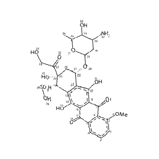 COc1cccc2c1C(=O)c1c(O)c3c(c(O)c1C2=O)C[C@@](O)(C(=O)CO)C[C@@H]3OC1CC(N)C(O)C(C)O1.O=S(=O)(O)O